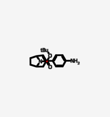 CC(C)(C)OC(=O)N1C2C=C(c3ccc(N)cc3)CC1CC2